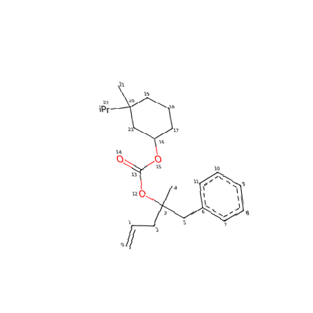 C=CCC(C)(Cc1ccccc1)OC(=O)OC1CCCC(C)(C(C)C)C1